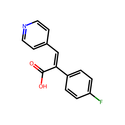 O=C(O)C(=Cc1ccncc1)c1ccc(F)cc1